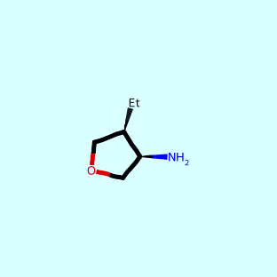 CC[C@@H]1COC[C@@H]1N